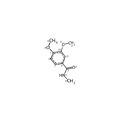 [CH2]NC(=O)c1ccc(OC)c(OC)c1